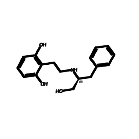 OC[C@H](Cc1ccccc1)NCCc1c(O)cccc1O